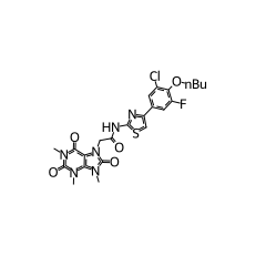 CCCCOc1c(F)cc(-c2csc(NC(=O)Cn3c(=O)n(C)c4c3c(=O)n(C)c(=O)n4C)n2)cc1Cl